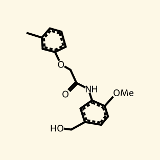 COc1ccc(CO)cc1NC(=O)COc1cccc(C)c1